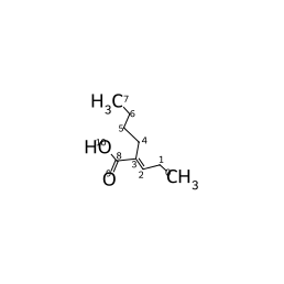 CC/C=C(\CCCC)C(=O)O